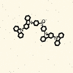 [O-][S+](c1ccc(-n2c3ccccc3c3cc(-n4c5ccccc5c5ccccc54)ccc32)cc1)c1ccc(-n2c3ccccc3c3cc(-n4c5ccccc5c5ccccc54)ccc32)cc1